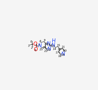 CC(C)(C)OC(=O)N1CCc2nc(NCCc3ccncc3)ncc2C1